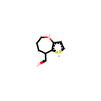 O=CC1CCCOc2ccsc21